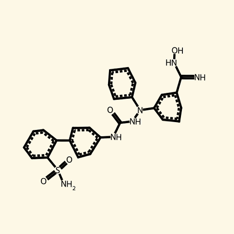 N=C(NO)c1cccc(N(NC(=O)Nc2ccc(-c3ccccc3S(N)(=O)=O)cc2)c2ccccc2)c1